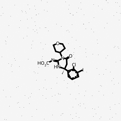 C[C@@]1(c2cccc(I)c2Cl)CC(=O)N(C2CCOCC2)/C(=N/C(=O)O)N1